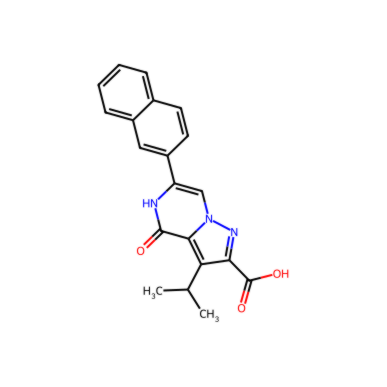 CC(C)c1c(C(=O)O)nn2cc(-c3ccc4ccccc4c3)[nH]c(=O)c12